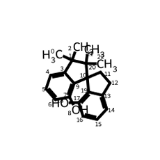 CC1(C)c2cccc(O)c2C2(CCc3cccc(O)c32)C1(C)C